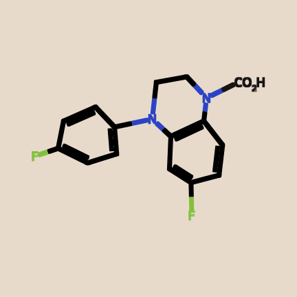 O=C(O)N1CCN(c2ccc(F)cc2)c2cc(F)ccc21